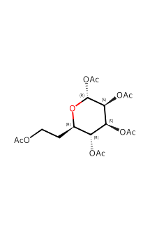 CC(=O)OCC[C@H]1O[C@H](OC(C)=O)[C@@H](OC(C)=O)[C@@H](OC(C)=O)[C@@H]1OC(C)=O